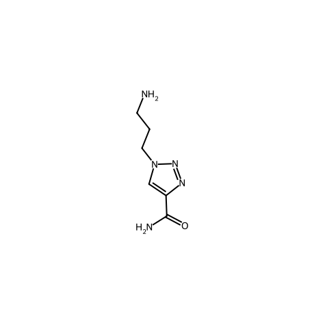 NCCCn1cc(C(N)=O)nn1